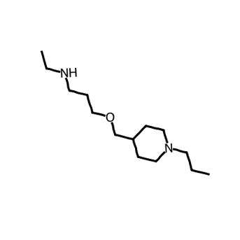 CCCN1CCC(COCCCNCC)CC1